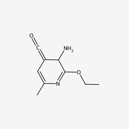 CCOC1=NC(C)=CC(=C=O)C1N